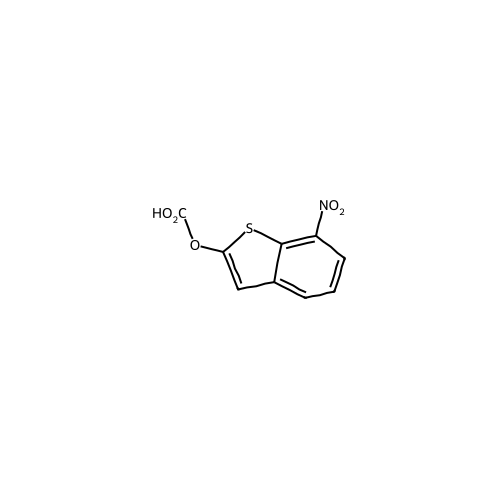 O=C(O)Oc1cc2cccc([N+](=O)[O-])c2s1